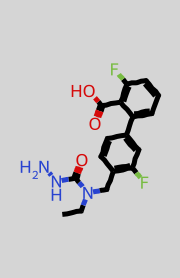 CCN(Cc1ccc(-c2cccc(F)c2C(=O)O)cc1F)C(=O)NN